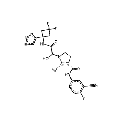 C[C@H]1[C@@H](C(=O)Nc2ccc(F)c(C#N)c2)CCN1C(O)C(=O)NC1(c2c[nH]nn2)CC(F)(F)C1